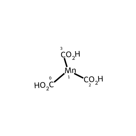 O=[C](O)[Mn]([C](=O)O)[C](=O)O